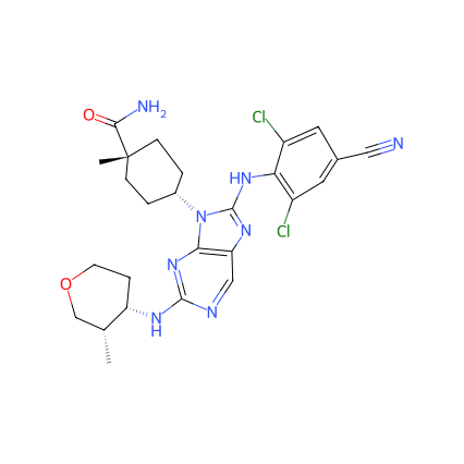 C[C@@H]1COCC[C@@H]1Nc1ncc2nc(Nc3c(Cl)cc(C#N)cc3Cl)n([C@H]3CC[C@@](C)(C(N)=O)CC3)c2n1